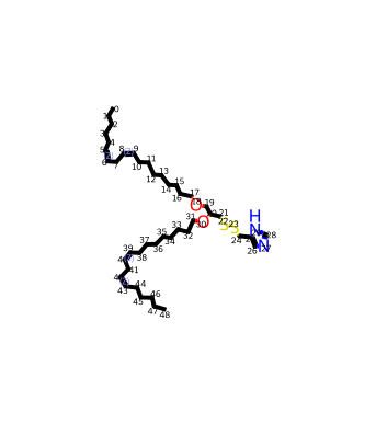 CCCCC/C=C\C/C=C\CCCCCCCCOCC(CSSCc1cnc[nH]1)OCCCCCCCC/C=C\C/C=C\CCCCC